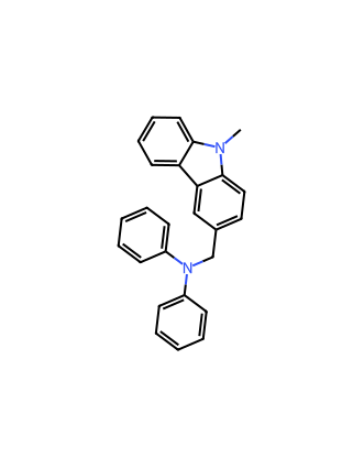 Cn1c2ccccc2c2cc(CN(c3ccccc3)c3ccccc3)ccc21